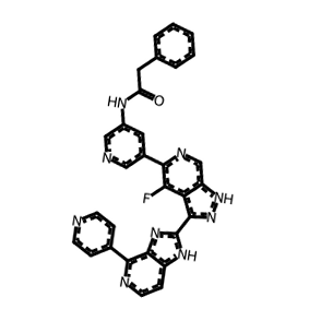 O=C(Cc1ccccc1)Nc1cncc(-c2ncc3[nH]nc(-c4nc5c(-c6ccncc6)nccc5[nH]4)c3c2F)c1